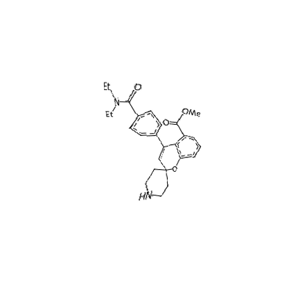 CCN(CC)C(=O)c1ccc(C2=CC3(CCNCC3)Oc3cccc(C(=O)OC)c32)cc1